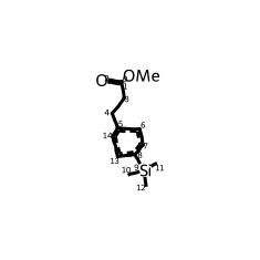 COC(=O)CCc1ccc([Si](C)(C)C)cc1